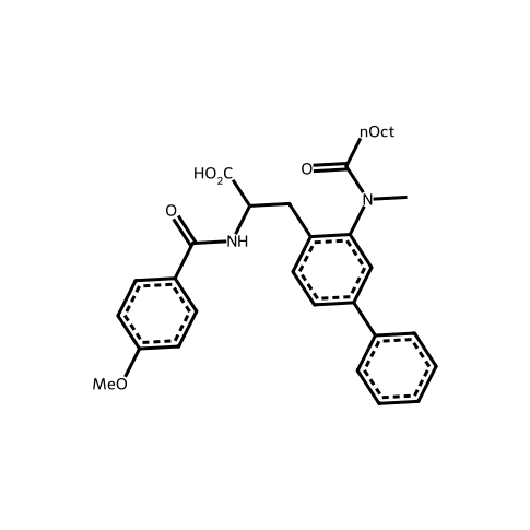 CCCCCCCCC(=O)N(C)c1cc(-c2ccccc2)ccc1CC(NC(=O)c1ccc(OC)cc1)C(=O)O